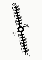 Cc1cc(C(F)(F)C(F)(F)C(F)(F)C(F)(F)C(F)(F)C(F)(F)C(F)(F)C(F)(F)F)c(C)cc1C(F)(F)C(F)(F)C(F)(F)C(F)(F)C(F)(F)C(F)(F)C(F)(F)C(F)(F)F